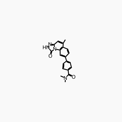 Cc1cc2n[nH]c(=O)n2c2cc(-c3ccc(C(=O)N(C)C)cc3)ccc12